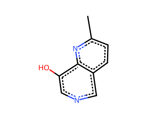 Cc1ccc2cncc(O)c2n1